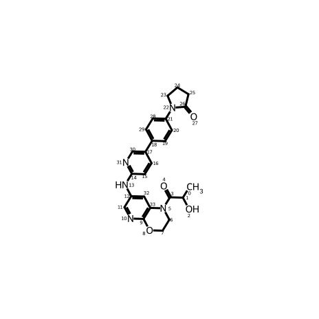 CC(O)C(=O)N1CCOc2ncc(Nc3ccc(-c4ccc(N5CCCC5=O)cc4)cn3)cc21